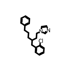 Clc1ccccc1CC(CCCc1ccccc1)CCn1ccnc1